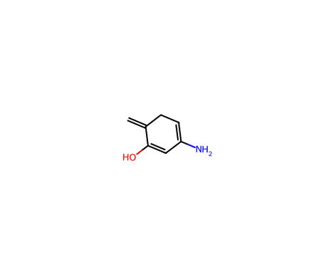 C=C1CC=C(N)C=C1O